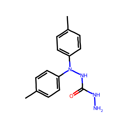 Cc1ccc(N(NC(=O)NN)c2ccc(C)cc2)cc1